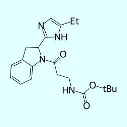 CCc1cnc(C2Cc3ccccc3N2C(=O)CCNC(=O)OC(C)(C)C)[nH]1